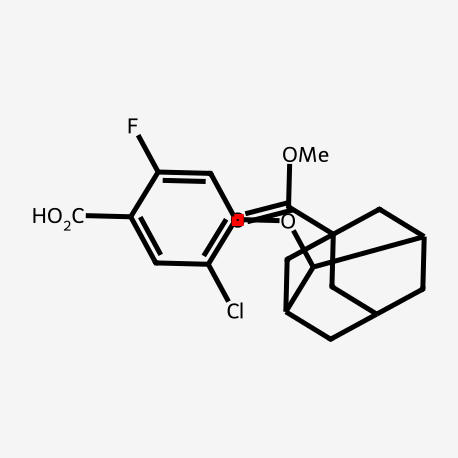 COC(=O)C12CC3CC(C1)C(Oc1cc(F)c(C(=O)O)cc1Cl)C(C3)C2